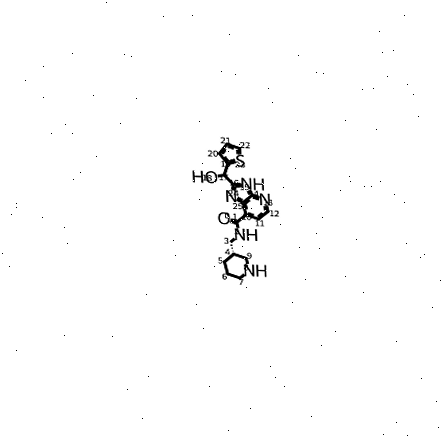 O=C(NC[C@H]1CCCNC1)c1ccnc2[nH]c(C(O)c3cccs3)nc12